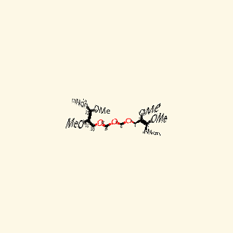 CCCCCCCCCC(OC)=C(COCOCOCC(OC)=C(CCCCCCCCC)OC)OC